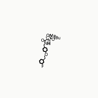 COC[C@@H](NC(=O)OC(C)(C)C)C(=O)NCc1ccc(OCCc2cccc(F)c2)cc1